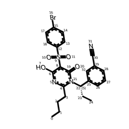 CCCCc1nc(O)c(S(=O)(=O)c2ccc(Br)cc2)c(=O)n1[C@@H](CC)c1cccc(C#N)c1